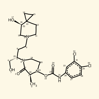 C[C@H]1C(=O)N([C@H](CO)CCN2CCC3(CC3)[C@H](O)C2)CCN1OC(=O)Nc1ccc(Cl)c(Cl)c1